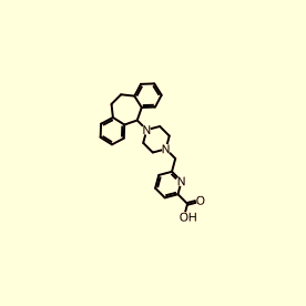 O=C(O)c1cccc(CN2CCN(C3c4ccccc4CCc4ccccc43)CC2)n1